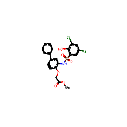 CC(C)(C)OC(=O)COc1c#cc(-c2ccccc2)cc1NS(=O)(=O)c1cc(Cl)cc(Cl)c1O